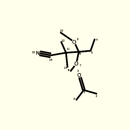 CC(C)=O.CCC(OC)(OC)C(C)(C)C#N